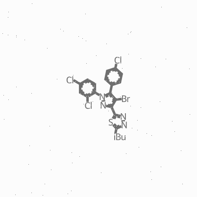 CCC(C)c1nnc(-c2nn(-c3ccc(Cl)cc3Cl)c(-c3ccc(Cl)cc3)c2Br)s1